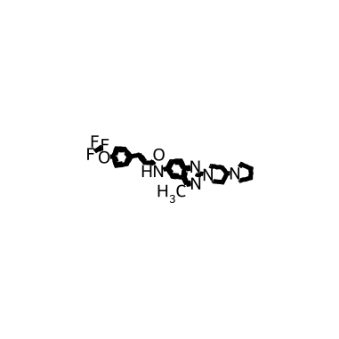 Cc1nc(N2CCC(N3CCCC3)CC2)nc2ccc(NC(=O)C=Cc3ccc(OC(F)(F)F)cc3)cc12